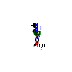 Cc1ccnc(Nc2cccc(-c3cnc(N4CCC(OCC(=O)O)CC4)s3)n2)c1.Cl.Cl